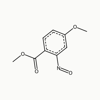 COC(=O)c1ccc(OC)cc1N=O